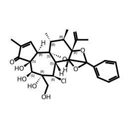 C=C(C)[C@@]12OC3(c4ccccc4)O[C@@H]1[C@@H]1[C@@H](Cl)[C@@](O)(CO)[C@@H](O)[C@]4(O)C(=O)C(C)=C[C@H]4[C@@]1(O3)[C@H](C)[C@H]2C